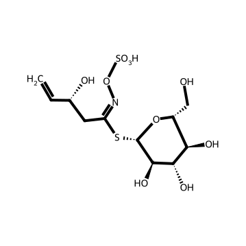 C=C[C@H](O)CC(=NOS(=O)(=O)O)S[C@@H]1O[C@H](CO)[C@@H](O)[C@H](O)[C@H]1O